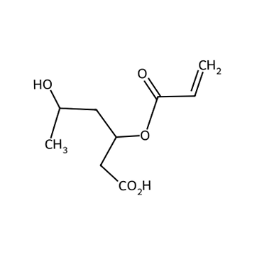 C=CC(=O)OC(CC(=O)O)CC(C)O